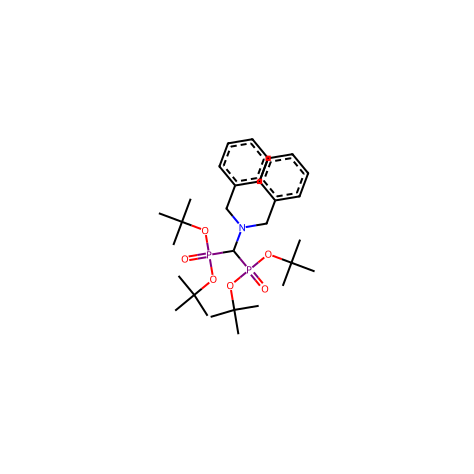 CC(C)(C)OP(=O)(OC(C)(C)C)C(N(Cc1ccccc1)Cc1ccccc1)P(=O)(OC(C)(C)C)OC(C)(C)C